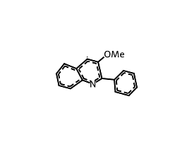 COc1[c]c2ccccc2nc1-c1ccccc1